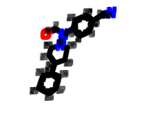 N#Cc1ccc(N(C=O)N2CCC(c3ccccc3)CC2)cc1